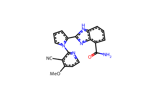 COc1ccnc(-n2cccc2-c2nc3c(C(N)=O)cccc3[nH]2)c1C#N